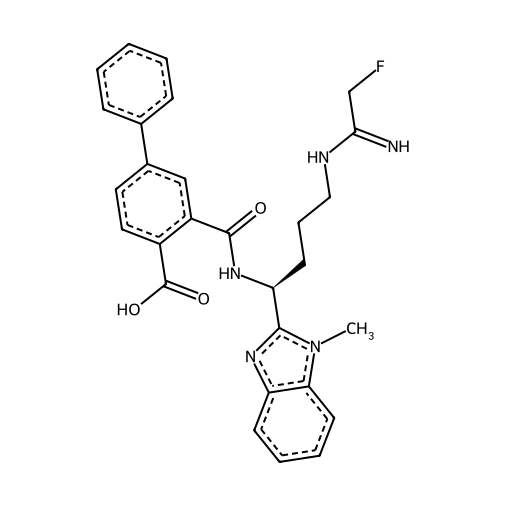 Cn1c([C@H](CCCNC(=N)CF)NC(=O)c2cc(-c3ccccc3)ccc2C(=O)O)nc2ccccc21